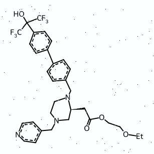 CCOCCOC(=O)C[C@H]1CN(Cc2ccncc2)CCN1Cc1ccc(-c2ccc(C(O)(C(F)(F)F)C(F)(F)F)cc2)cc1